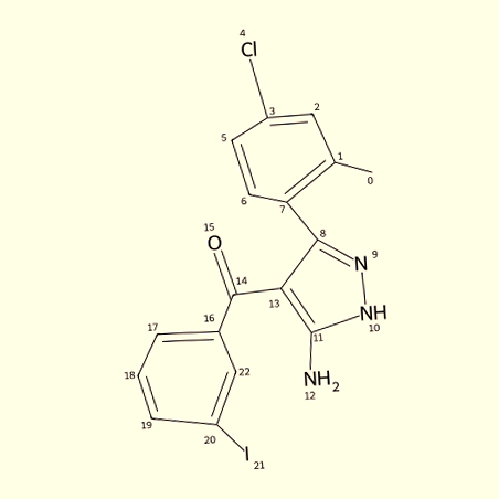 Cc1cc(Cl)ccc1-c1n[nH]c(N)c1C(=O)c1cccc(I)c1